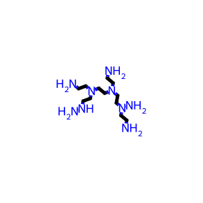 NCCN(N)CCN(CCN)CCN(CCN)CCNN